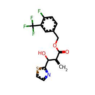 C=C(C(=O)OCc1ccc(F)c(C(F)(F)F)c1)C(O)c1nccs1